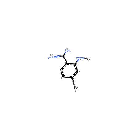 CCNc1cc(C(C)C)ccc1C(=N)N